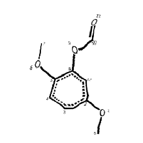 COc1ccc(OC)c(O[C]=O)c1